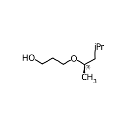 CC(C)C[C@@H](C)OCCCO